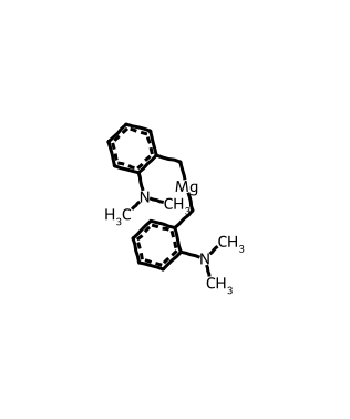 CN(C)c1ccccc1[CH2][Mg][CH2]c1ccccc1N(C)C